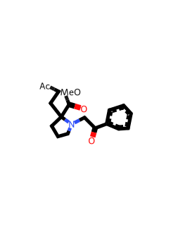 COC(=O)C1(CCC(C)=O)CCCN1CC(=O)c1ccccc1